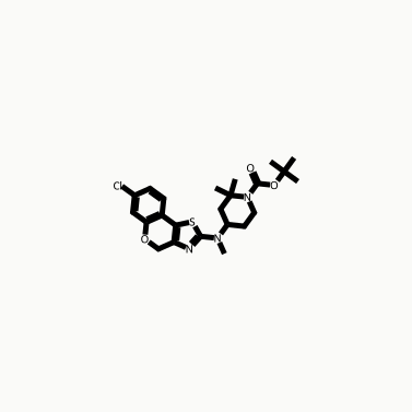 CN(c1nc2c(s1)-c1ccc(Cl)cc1OC2)C1CCN(C(=O)OC(C)(C)C)C(C)(C)C1